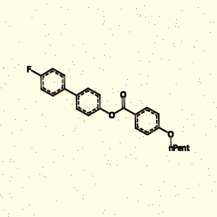 CCCCCOc1ccc(C(=O)Oc2ccc(-c3ccc(F)cc3)cc2)cc1